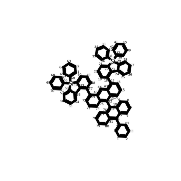 c1ccc(-c2c3ccccc3c(-c3c4cccc(-c5cccc6c5-c5ccccc5[Si]6(c5ccccc5)c5ccccc5)c4cc4c(-c5cccc6c5-c5ccccc5[Si]6(c5ccccc5)c5ccccc5)cccc34)c3ccccc23)cc1